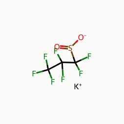 O=S([O-])C(F)(F)C(F)(F)C(F)(F)F.[K+]